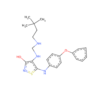 CC(C)(C)CCNCNc1c(O)nsc1Nc1ccc(Oc2ccccc2)cc1